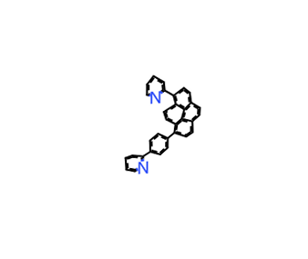 c1ccc(-c2ccc(-c3ccc4ccc5ccc(-c6ccccn6)c6ccc3c4c56)cc2)nc1